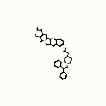 CC[C@@]1(O)C(=O)OCc2c1cc1n(c2=O)Cc2cc3cc(OC(=O)CC4CCN(CC(c5ccccc5)c5ccccc5)CC4)ccc3nc2-1